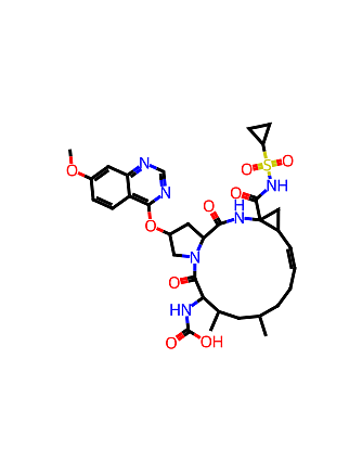 COc1ccc2c(OC3CC4C(=O)NC5(C(=O)NS(=O)(=O)C6CC6)CC5C=CCCC(C)CC(C)C(NC(=O)O)C(=O)N4C3)ncnc2c1